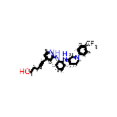 OCCCC#Cc1ccnc(N[C@@H]2CCCC[C@H]2N[C@H]2CCCN(c3ccc(C(F)(F)F)cc3)C2)c1